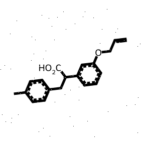 C=CCOc1cccc(C(Cc2ccc(C)cc2)C(=O)O)c1